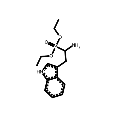 CCOP(=O)(OCC)C(N)Cc1c[nH]c2ccccc12